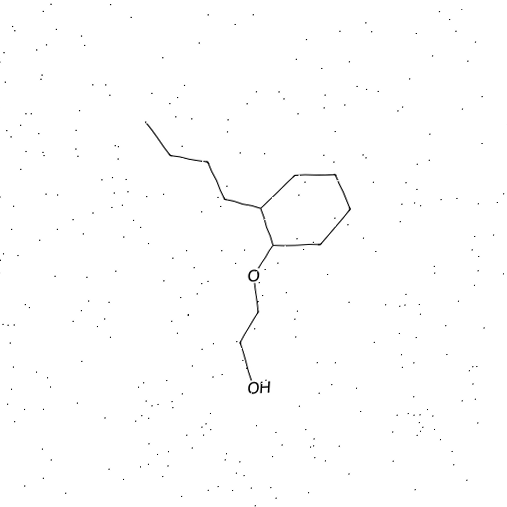 CCCCC1CCCCC1OCCO